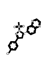 CS(=O)(=O)N1N=C(c2ccc(Cl)cc2)C[C@H]1c1ccc2nccnc2c1